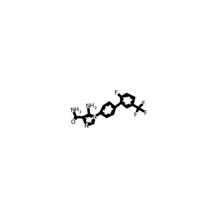 NC(=O)c1ncn(-c2ccc(-c3cc(C(F)(F)F)ccc3F)cc2)c1N